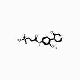 Cc1cc(NC(=O)CCS(C)(=O)=O)ccc1N1CCOCC1=O